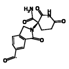 NC(=O)[C@@]1(N2Cc3ccc([C]=O)cc3C2=O)CCC(=O)NC1=O